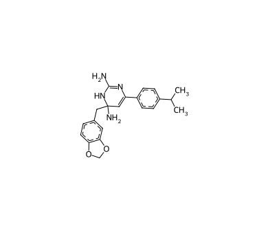 CC(C)c1ccc(C2=CC(N)(Cc3ccc4c(c3)OCO4)NC(N)=N2)cc1